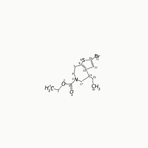 CCOC(=O)N1CCc2sc(Br)cc2C(CC)C1